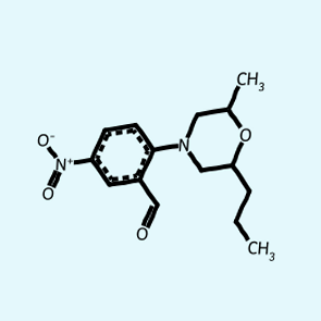 CCCC1CN(c2ccc([N+](=O)[O-])cc2C=O)CC(C)O1